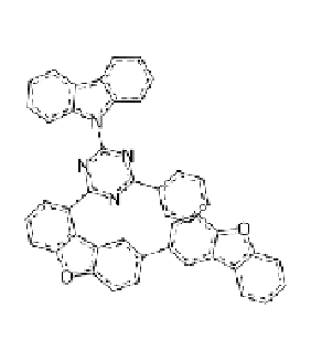 c1ccc(-c2nc(-c3cccc4oc5ccc(-c6ccc7oc8ccccc8c7c6)cc5c34)nc(-n3c4ccccc4c4ccccc43)n2)cc1